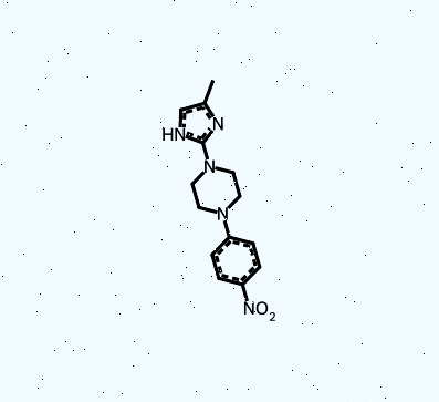 Cc1c[nH]c(N2CCN(c3ccc([N+](=O)[O-])cc3)CC2)n1